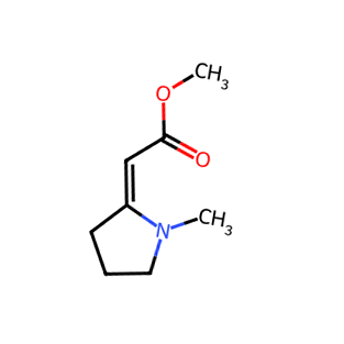 COC(=O)C=C1CCCN1C